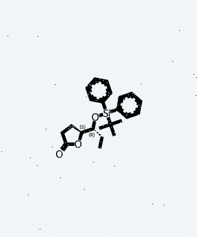 CC[C@@H](O[Si](c1ccccc1)(c1ccccc1)C(C)(C)C)[C@@H]1CCC(=O)O1